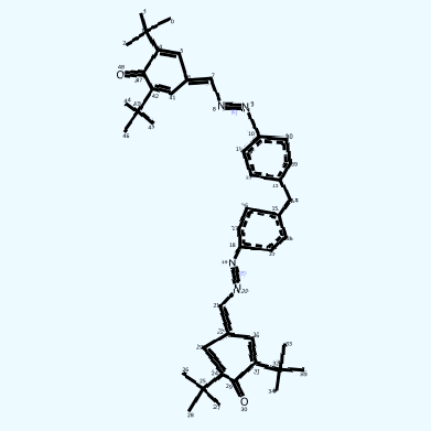 CC(C)(C)C1=CC(=C/N=N/c2ccc(Cc3ccc(/N=N/C=C4C=C(C(C)(C)C)C(=O)C(C(C)(C)C)=C4)cc3)cc2)C=C(C(C)(C)C)C1=O